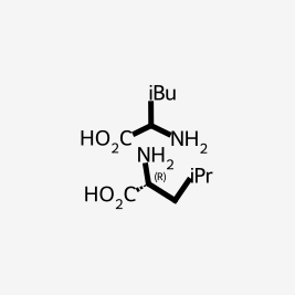 CC(C)C[C@@H](N)C(=O)O.CCC(C)C(N)C(=O)O